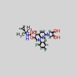 CC(C)(NC(=O)Oc1cn(-c2c(F)cc(F)cc2F)c2nc(N3C[C@@H](O)[C@H](O)C3)ccc2c1=O)C1CC1